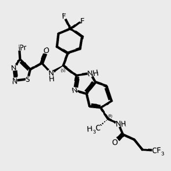 CC(C)c1nnsc1C(=O)N[C@H](c1nc2cc([C@@H](C)NC(=O)CCC(F)(F)F)ccc2[nH]1)C1CCC(F)(F)CC1